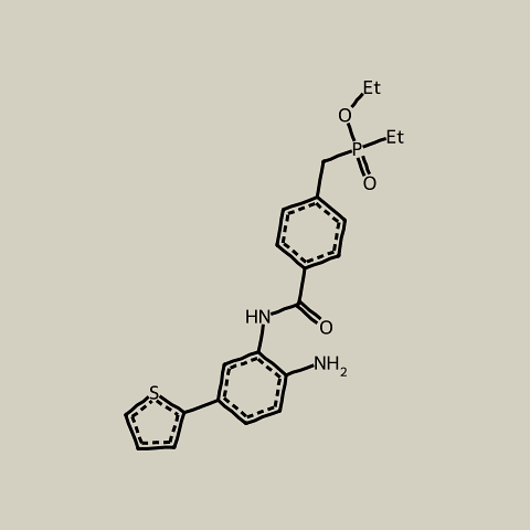 CCOP(=O)(CC)Cc1ccc(C(=O)Nc2cc(-c3cccs3)ccc2N)cc1